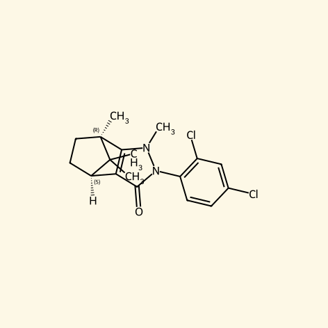 Cn1c2c(c(=O)n1-c1ccc(Cl)cc1Cl)[C@H]1CC[C@]2(C)C1(C)C